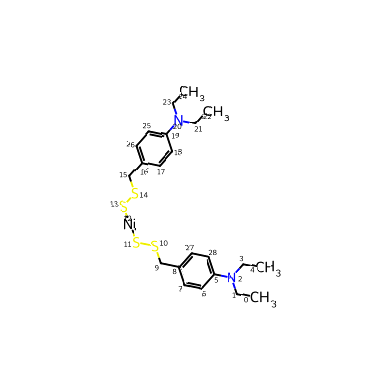 CCN(CC)c1ccc(CS[S][Ni][S]SCc2ccc(N(CC)CC)cc2)cc1